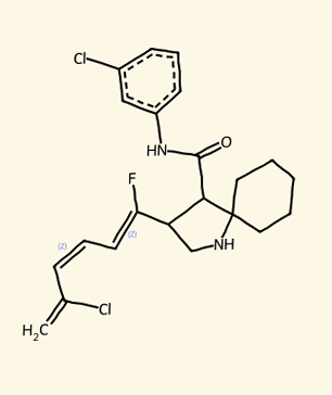 C=C(Cl)/C=C\C=C(/F)C1CNC2(CCCCC2)C1C(=O)Nc1cccc(Cl)c1